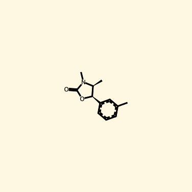 Cc1cccc([C@H]2OC(=O)N(C)[C@H]2C)c1